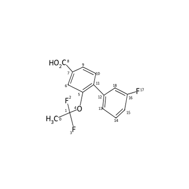 CC(F)(F)Oc1cc(C(=O)O)ccc1-c1cccc(F)c1